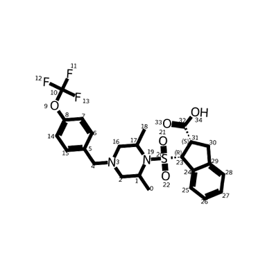 CC1CN(Cc2ccc(OC(F)(F)F)cc2)CC(C)N1S(=O)(=O)[C@H]1c2ccccc2C[C@H]1C(=O)O